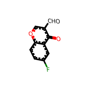 O=Cc1coc2ccc(F)cc2c1=O